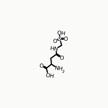 NC(CC(=O)NCS(=O)(=O)O)C(=O)O